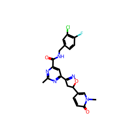 Cc1nc(C(=O)NCc2ccc(F)c(Cl)c2)cc(C2=NOC(c3ccc(=O)n(C)c3)C2)n1